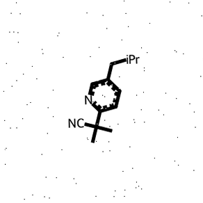 CC(C)Cc1ccc(C(C)(C)C#N)nc1